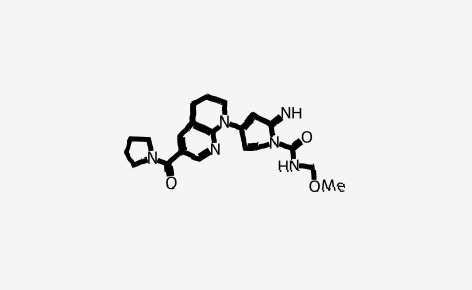 COCNC(=O)n1ccc(N2CCCc3cc(C(=O)N4CCCC4)cnc32)cc1=N